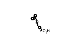 O=C(O)Cc1ccc(CC=NOCCn2c3ccccc3c3ccccc32)cc1